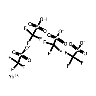 O=S(=O)(O)C(F)(F)F.O=S(=O)([O-])C(F)(F)F.O=S(=O)([O-])C(F)(F)F.O=S(=O)([O-])C(F)(F)F.[Yb+3]